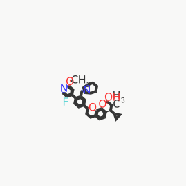 COc1cc(-c2ccc(C3CCc4ccc([C@H](C5CC5)[C@H](C)C(=O)O)cc4O3)cc2CN2C3CCCC2CC3)c(F)cn1